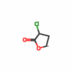 O=C1O[CH]CC1Cl